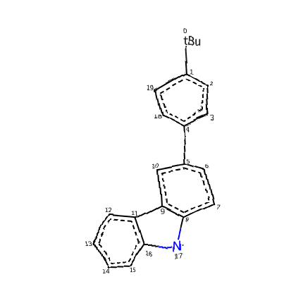 CC(C)(C)c1ccc(-c2ccc3c(c2)-c2ccccc2[N]3)cc1